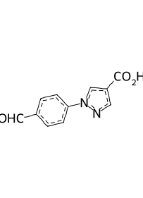 O=Cc1ccc(-n2cc(C(=O)O)cn2)cc1